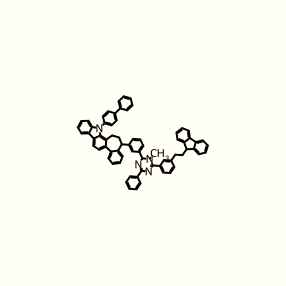 CN1C(c2cccc(CCC3c4ccccc4-c4ccccc43)c2)=NC(c2ccccc2)=NC1c1cccc(C2CCc3c(ccc4c5ccccc5n(-c5ccc(-c6ccccc6)cc5)c34)-c3ccccc32)c1